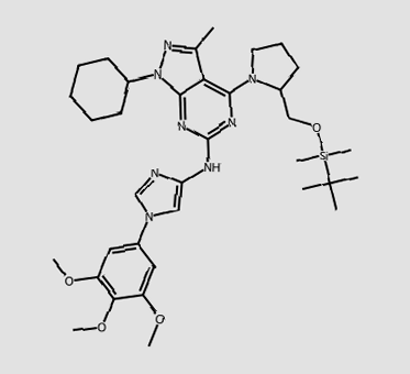 COc1cc(-n2cnc(Nc3nc(N4CCCC4CO[Si](C)(C)C(C)(C)C)c4c(C)nn(C5CCCCC5)c4n3)c2)cc(OC)c1OC